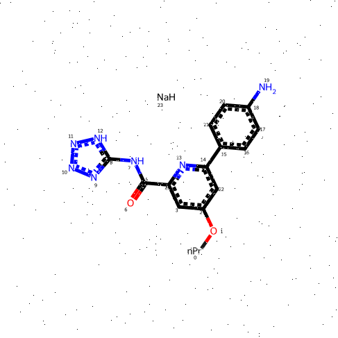 CCCOc1cc(C(=O)Nc2nnn[nH]2)nc(-c2ccc(N)cc2)c1.[NaH]